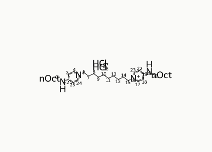 CCCCCCCCNc1cc[n+](CCCCCCCCCC[n+]2ccc(NCCCCCCCC)cc2)cc1.Cl.Cl